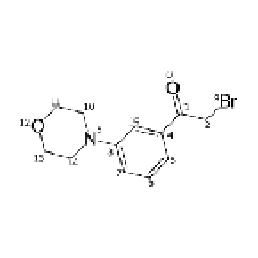 O=C(CBr)c1cccc(N2CCOCC2)c1